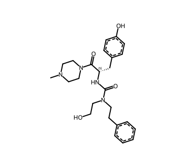 CN1CCN(C(=O)[C@H](Cc2ccc(O)cc2)NC(=O)N(CCO)CCc2ccccc2)CC1